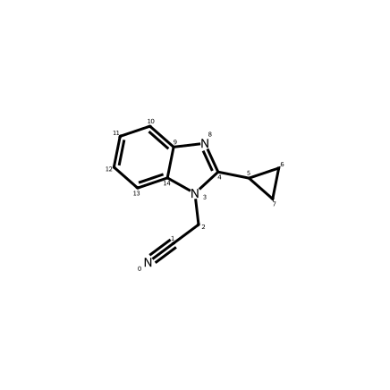 N#CCn1c(C2CC2)nc2ccccc21